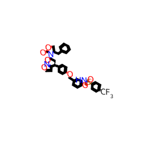 O=C(C[C@@H](c1ccc(OCc2cccc(NS(=O)(=O)c3ccc(C(F)(F)F)cc3)c2)cc1)c1ccon1)N1C(=O)OCC1Cc1ccccc1